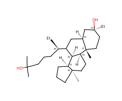 CC[C@H](CCCC(C)(C)O)C1C[C@H]2C[C@](O)(CC)CC[C@]2(C)[C@H]2CC[C@@]3(C)CCC[C@H]3[C@@H]12